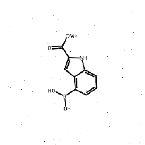 COC(=O)c1cc2c(B(O)O)cccc2[nH]1